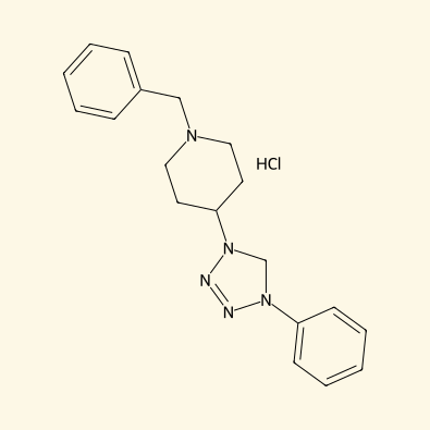 Cl.c1ccc(CN2CCC(N3CN(c4ccccc4)N=N3)CC2)cc1